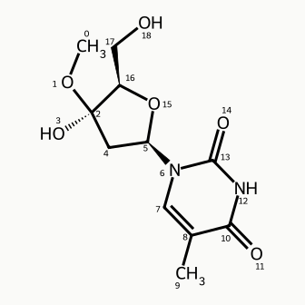 CO[C@]1(O)C[C@H](n2cc(C)c(=O)[nH]c2=O)O[C@@H]1CO